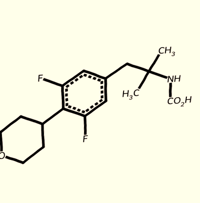 CC(C)(Cc1cc(F)c(C2CCOCC2)c(F)c1)NC(=O)O